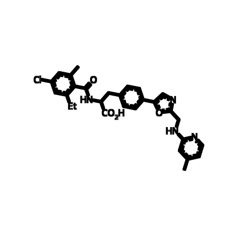 CCc1cc(Cl)cc(C)c1C(=O)NC(Cc1ccc(-c2cnc(CNc3cc(C)ccn3)o2)cc1)C(=O)O